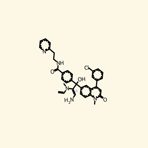 C=CN(C)/C(=C\N)C(O)(c1ccc(C(=O)NCCc2ccccn2)cc1)c1ccc2c(c1)c(-c1cccc(Cl)c1)cc(=O)n2C